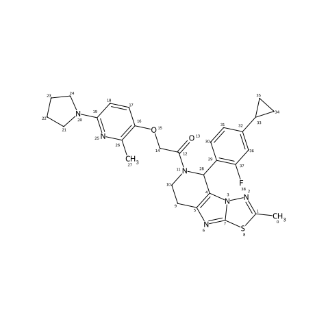 Cc1nn2c3c(nc2s1)CCN(C(=O)COc1ccc(N2CCCC2)nc1C)C3c1ccc(C2CC2)cc1F